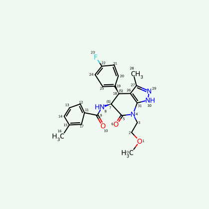 COCCN1C(=O)[C@@H](NC(=O)c2cccc(C)c2)[C@@H](c2ccc(F)cc2)c2c(C)n[nH]c21